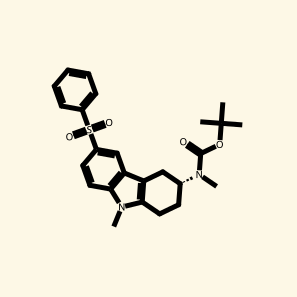 CN(C(=O)OC(C)(C)C)[C@@H]1CCc2c(c3cc(S(=O)(=O)c4ccccc4)ccc3n2C)C1